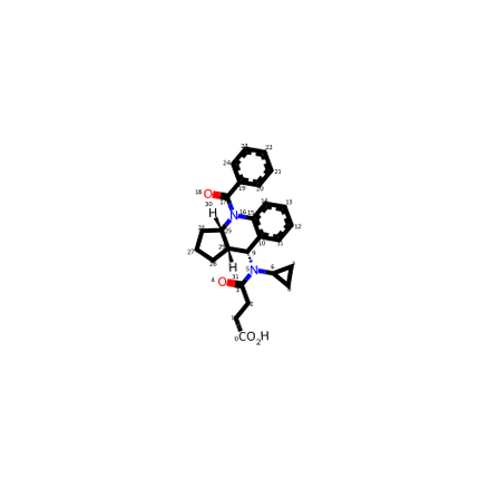 O=C(O)CCC(=O)N(C1CC1)[C@H]1c2ccccc2N(C(=O)c2ccccc2)[C@H]2CCC[C@H]21